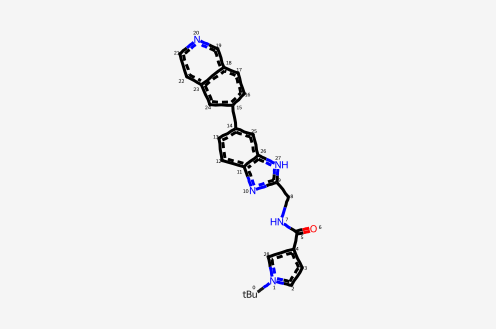 CC(C)(C)n1ccc(C(=O)NCc2nc3ccc(-c4ccc5cnccc5c4)cc3[nH]2)c1